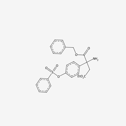 CCOC(=O)CC(N)(C(=O)OCc1ccccc1)c1ccc(OS(=O)(=O)c2ccccc2)cc1